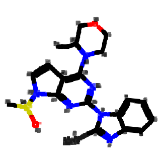 CNc1nc2ccccc2n1-c1nc(N2CCOCC2C)c2ccn([S+](C)[O-])c2n1